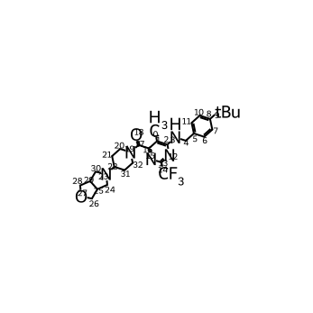 Cc1c(NCc2ccc(C(C)(C)C)cc2)nc(C(F)(F)F)nc1C(=O)N1CCC(N2CC3COCC3C2)CC1